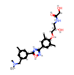 CCN(C)Cc1cc(C)cc(-c2nc(-c3cc(C)c(OC[C@@H](O)CNC(=O)CO)c(C)c3)no2)c1